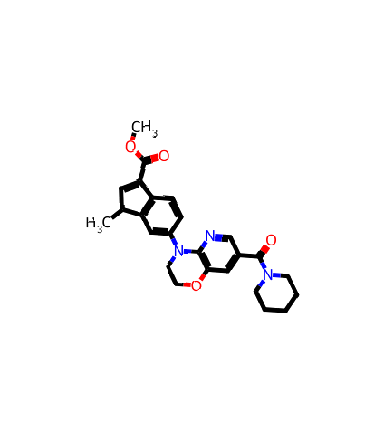 COC(=O)C1=CC(C)c2cc(N3CCOc4cc(C(=O)N5CCCCC5)cnc43)ccc21